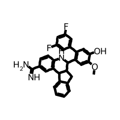 COc1cc(C2Nc3ccc(C(=N)N)cc3C3c4ccccc4CC23)c(-c2cc(F)cc(F)c2)cc1O